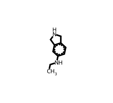 CCNc1ccc2c(c1)CNC2